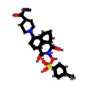 COC(=O)C1CCN(c2ccc3c4c(cccc24)C(=O)N(OS(=O)(=O)c2ccc(C)cc2)C3=O)CC1